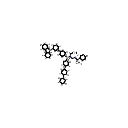 C=C/C(=C\C=C(/C)c1ccccc1)N(c1ccc(-c2ccc(-c3ccccc3)cc2)cc1)c1ccc(-c2cccc(-n3c4ccccc4c4ccccc43)c2)cc1